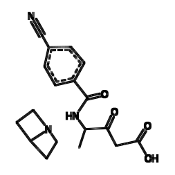 C1CN2CCC12.CC(NC(=O)c1ccc(C#N)cc1)C(=O)CC(=O)O